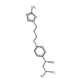 CC(=O)N(C)C[C@H](O)c1ccc(OCCCn2nnc(C)n2)cc1